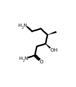 C[C@H](CCN)[C@@H](O)CC(N)=O